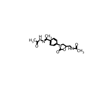 CC(=O)NCC1CN(c2ccc(C(C)=NNC(C)=O)cc2)C(=O)O1